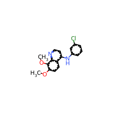 COc1ccc2c(Nc3cccc(Cl)c3)ccnc2c1OC